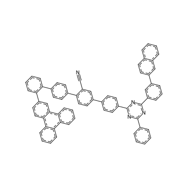 N#Cc1cc(-c2ccc(-c3nc(-c4ccccc4)nc(-c4cccc(-c5ccc6ccccc6c5)c4)n3)cc2)ccc1-c1ccc(-c2ccccc2-c2ccc3c4ccccc4c4ccccc4c3c2)cc1